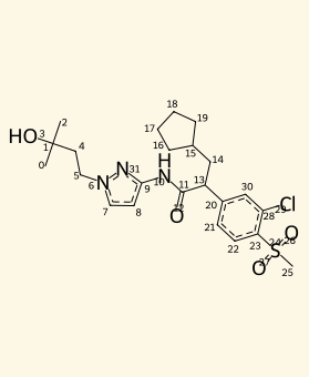 CC(C)(O)CCn1ccc(NC(=O)C(CC2CCCC2)c2ccc(S(C)(=O)=O)c(Cl)c2)n1